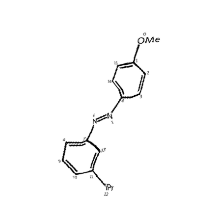 COc1ccc(N=Nc2cccc(C(C)C)c2)cc1